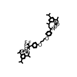 CC(C)c1cc(C(C)C)c(S(=O)(=O)O/N=C(/c2ccc(OCCCOc3ccc(/C4=N/OS(=O)(=O)c5c(C(C)C)cc(C(C)C)cc5C(C)C4)cc3)cc2)C(F)(F)F)c(C(C)C)c1